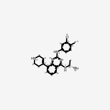 C[C@@H](Nc1nc(Nc2ccc(F)c(Cl)c2)nc2c(C3=CCNCC3)cccc12)C(C)(C)C